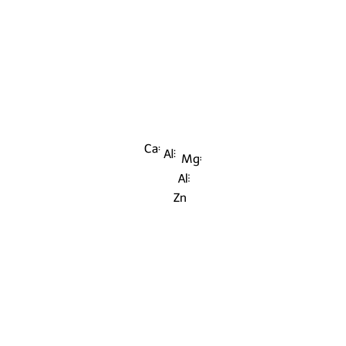 [Al].[Al].[Ca].[Mg].[Zn]